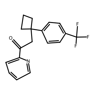 O=C(CC1(c2ccc(C(F)(F)F)cc2)CCC1)c1ccccn1